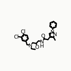 Cc1nn(-c2ccccc2)cc1CC(=O)NCC1CN(Cc2ccc(Cl)c(Cl)c2)CCO1